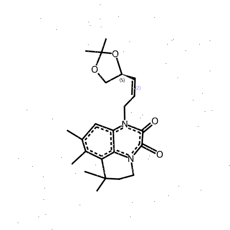 Cc1cc2c3c(c1C)C(C)(C)CCn3c(=O)c(=O)n2C/C=C\[C@H]1COC(C)(C)O1